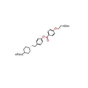 CCCCCCCCCCCCOc1ccc(C(=O)Oc2ccc(CC[C@H]3CC[C@H](CCCCC)CC3)cc2)cc1